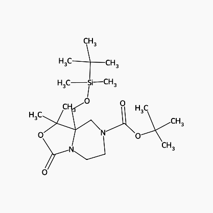 CC(C)(C)OC(=O)N1CCN2C(=O)OC(C)(C)C2(CO[Si](C)(C)C(C)(C)C)C1